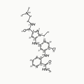 CCn1nc(C(=O)NCCN(C)C)cc1Nc1cc(Nc2ccccc2C(=O)NC)c(Cl)cn1